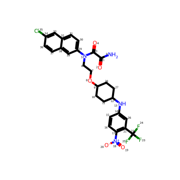 NC(=O)C(=O)N(CCOC1CCC(Nc2ccc([N+](=O)[O-])c(C(F)(F)F)c2)CC1)c1ccc2cc(Cl)ccc2c1